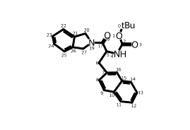 CC(C)(C)OC(=O)NC(Cc1ccc2ccccc2c1)C(=O)N1Cc2ccccc2C1